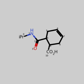 CC(C)NC(=O)C1CC=CCC1C(=O)O